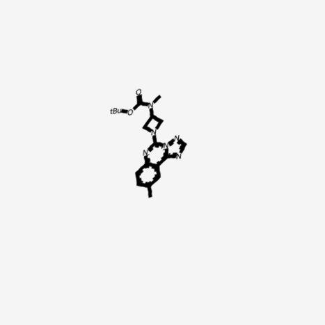 Cc1ccc2nc(N3CC(N(C)C(=O)OC(C)(C)C)C3)n3ncnc3c2c1